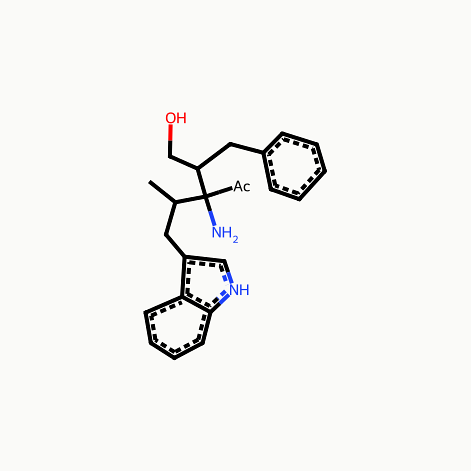 CC(=O)C(N)(C(C)Cc1c[nH]c2ccccc12)C(CO)Cc1ccccc1